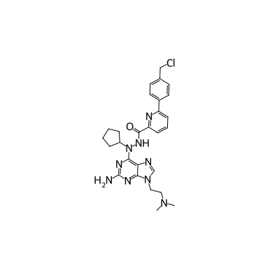 CN(C)CCn1cnc2c(N(NC(=O)c3cccc(-c4ccc(CCl)cc4)n3)C3CCCC3)nc(N)nc21